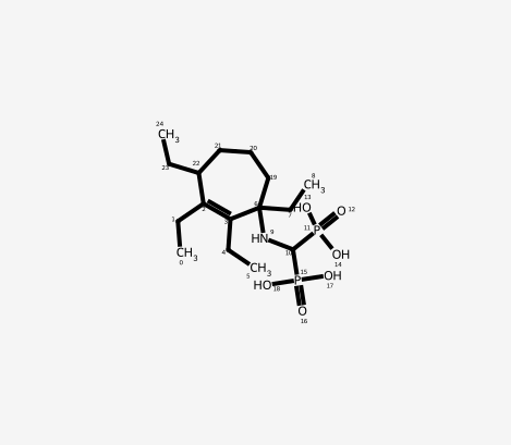 CCC1=C(CC)C(CC)(NC(P(=O)(O)O)P(=O)(O)O)CCCC1CC